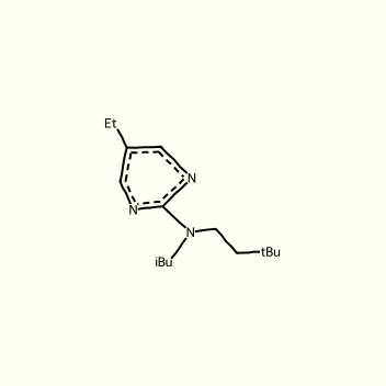 CCc1cnc(N(CCC(C)(C)C)C(C)CC)nc1